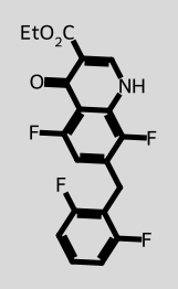 CCOC(=O)c1c[nH]c2c(F)c(Cc3c(F)cccc3F)cc(F)c2c1=O